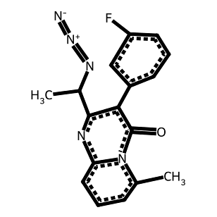 Cc1cccc2nc(C(C)N=[N+]=[N-])c(-c3cccc(F)c3)c(=O)n12